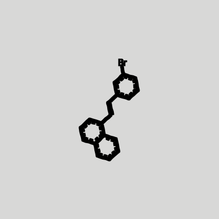 Brc1cccc(/C=C/c2cccc3ccccc23)c1